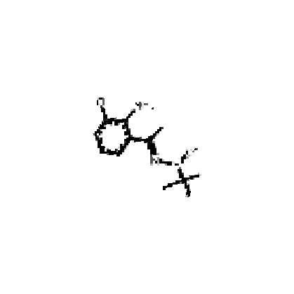 C/C(=N\[S+]([O-])C(C)(C)C)c1cccc(Cl)c1N